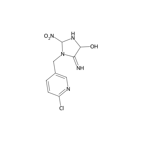 N=C1C(O)NC([N+](=O)[O-])N1Cc1ccc(Cl)nc1